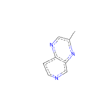 Cc1cnc2ccncc2n1